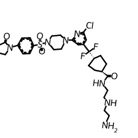 NCCNCCNC(=O)[C@H]1CC[C@H](C(F)(F)c2cc(Cl)nc(N3CCN(S(=O)(=O)c4ccc(N5CCCC5=O)cc4)CC3)c2)CC1